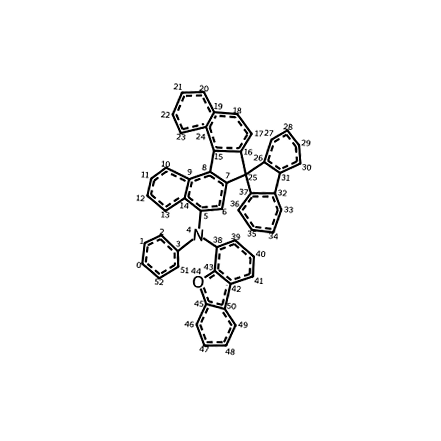 c1ccc(N(c2cc3c(c4ccccc24)-c2c(ccc4ccccc24)C32c3ccccc3-c3ccccc32)c2cccc3c2oc2ccccc23)cc1